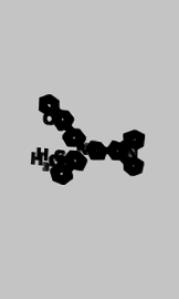 CC1(C)c2ccccc2-c2ccc(N(c3ccc(-c4ccc5c(c4)oc4ccccc45)cc3)c3ccc(-c4cc5c6ccccc6n6c7ccccc7c(c4)c56)cc3)cc21